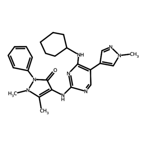 Cc1c(Nc2ncc(-c3cnn(C)c3)c(NC3CCCCC3)n2)c(=O)n(-c2ccccc2)n1C